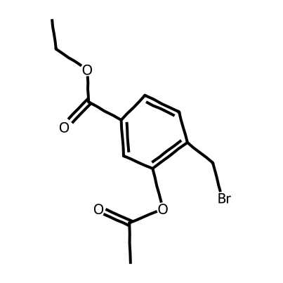 CCOC(=O)c1ccc(CBr)c(OC(C)=O)c1